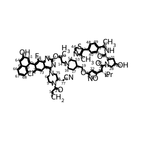 C=CC(=O)N1CCN(c2nc(O[C@H](C)CN3CCC(COc4cc([C@H](C(=O)N5C[C@H](O)C[C@H]5C(=O)N[C@@H](C)c5ccc(-c6scnc6C)cc5)C(C)C)on4)CC3)nc3c(F)c(-c4cc(O)cc5ccccc45)c(Cl)cc23)C[C@@H]1CC#N